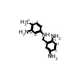 Cc1ccc(NCc2cc(N)ccc2N)cc1N